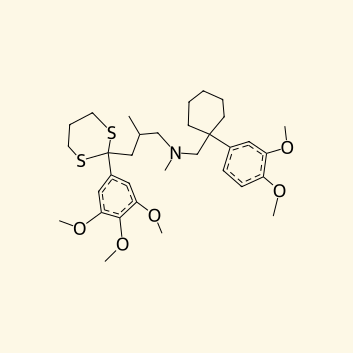 COc1ccc(C2(CN(C)CC(C)CC3(c4cc(OC)c(OC)c(OC)c4)SCCCS3)CCCCC2)cc1OC